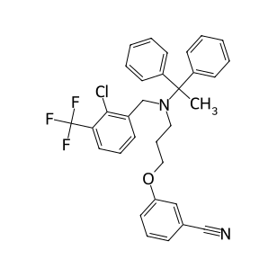 CC(c1ccccc1)(c1ccccc1)N(CCCOc1cccc(C#N)c1)Cc1cccc(C(F)(F)F)c1Cl